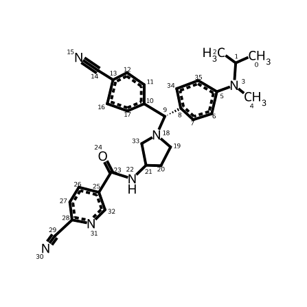 CC(C)N(C)c1ccc([C@@H](c2ccc(C#N)cc2)N2CCC(NC(=O)c3ccc(C#N)nc3)C2)cc1